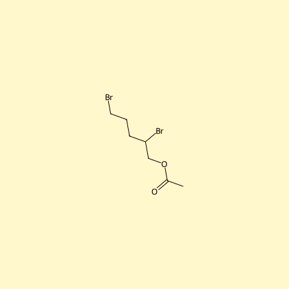 CC(=O)OCC(Br)CCCBr